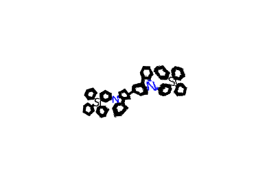 C1=CCC2C(=C1)c1cc(-c3ccc4c(c3)c3ccccc3n4-c3cccc([Si](c4ccccc4)(c4ccccc4)c4ccccc4)c3)ccc1N2c1cccc([Si](c2ccccc2)(c2ccccc2)c2ccccc2)c1